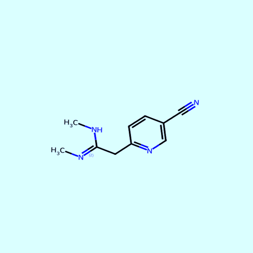 C/N=C(/Cc1ccc(C#N)cn1)NC